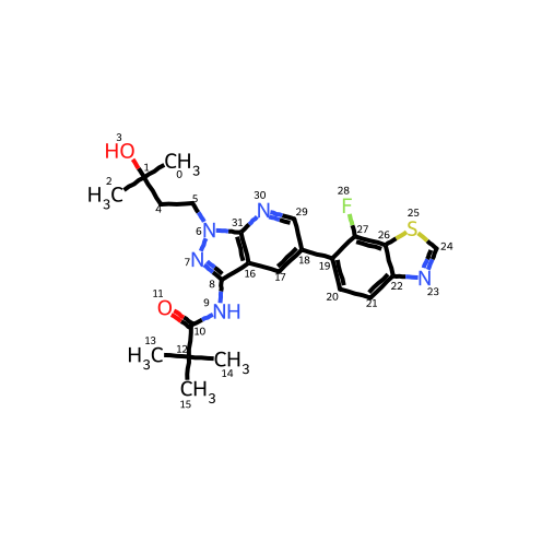 CC(C)(O)CCn1nc(NC(=O)C(C)(C)C)c2cc(-c3ccc4ncsc4c3F)cnc21